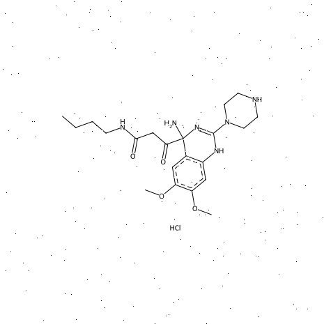 CCCCNC(=O)CC(=O)C1(N)N=C(N2CCNCC2)Nc2cc(OC)c(OC)cc21.Cl